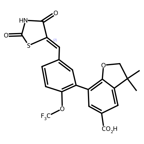 CC1(C)COc2c(-c3cc(/C=C4\SC(=O)NC4=O)ccc3OC(F)(F)F)cc(C(=O)O)cc21